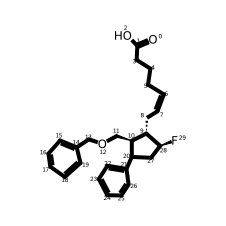 O=C(O)CCC/C=C\C[C@H]1[C@H](COCc2ccccc2)C(c2ccccc2)C[C@@H]1F